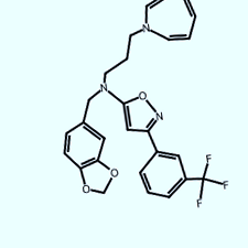 FC(F)(F)c1cccc(-c2cc(N(CCCN3C=CC=CC=C3)Cc3ccc4c(c3)OCO4)on2)c1